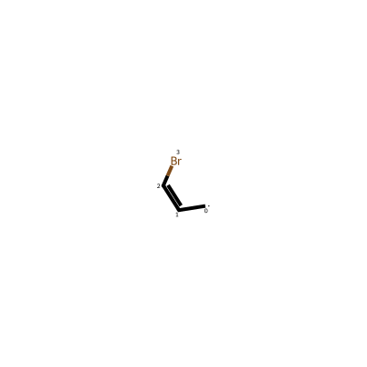 [CH2]/C=C\Br